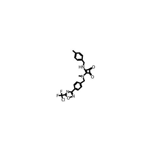 Cc1ccc(CNc2c(N(C)Cc3ccc(-c4noc(C(F)(F)Cl)n4)cc3)c(=O)c2=O)cc1